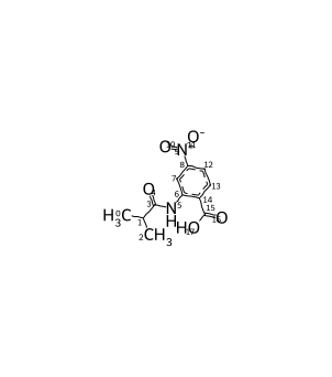 CC(C)C(=O)Nc1cc([N+](=O)[O-])ccc1C(=O)O